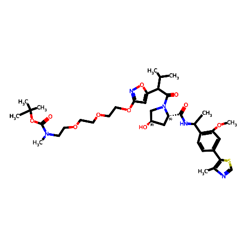 COc1cc(-c2scnc2C)ccc1C(C)NC(=O)[C@@H]1C[C@@H](O)CN1C(=O)C(c1cc(OCCOCCOCCN(C)C(=O)OC(C)(C)C)no1)C(C)C